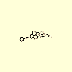 CCn1cc([C@]2(C)CC(=O)N(c3c(F)cc(C#Cc4ccccc4)cc3F)C(=O)N2C)cn1